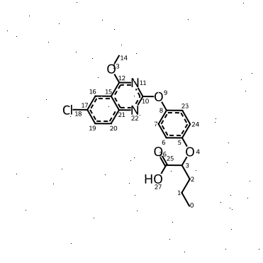 CCCC(Oc1ccc(Oc2nc(OC)c3cc(Cl)ccc3n2)cc1)C(=O)O